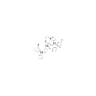 Fc1cc(F)cc(N(c2ccccc2)c2ccc3c4c5ccccc5c(N(c5ccccc5)c5cc(F)cc(F)c5)c5c6c7ccccc7sc6n(c3c2)c54)c1